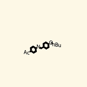 CCCCOc1ccc(/C=N/c2ccc(C(C)=O)cc2)cc1